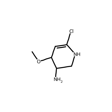 COC1C=C(Cl)NCC1N